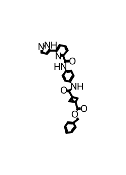 O=C(Nc1ccc(NC(=O)C23CC(C(=O)OCc4ccccc4)(C2)C3)cc1)c1cccc(-c2ccn[nH]2)n1